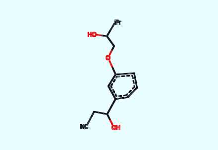 CC(C)C(O)COc1cccc(C(O)CC#N)c1